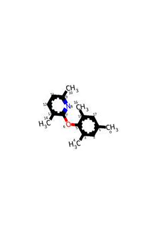 Cc1cc(C)c(Oc2nc(C)ccc2C)c(C)c1